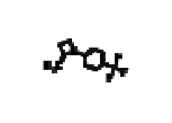 C=C1CCN1c1ccc(C(F)(F)F)cc1